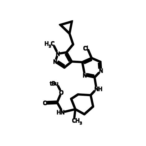 Cn1ncc(-c2nc(NC3CCC(C)(NC(=O)OC(C)(C)C)CC3)ncc2Cl)c1CC1CC1